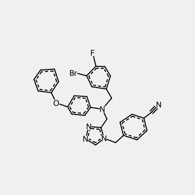 N#Cc1ccc(Cn2cnnc2CN(Cc2ccc(F)c(Br)c2)c2ccc(Oc3ccccc3)cc2)cc1